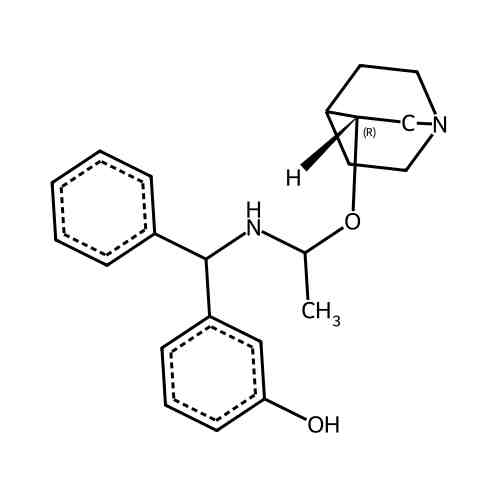 CC(NC(c1ccccc1)c1cccc(O)c1)O[C@H]1CN2CCC1CC2